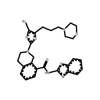 CC(=O)c1nc(N2CCc3cccc(C(=O)Nc4nc5ccccc5s4)c3C2)sc1CCCN1CCOCC1